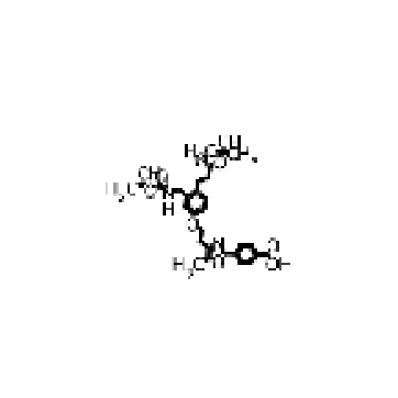 Cc1oc(-c2ccc(C(=O)O)cc2)nc1CCOc1ccc(CCC(=O)OC(C)(C)C)c(CNC(=O)OC(C)C)c1